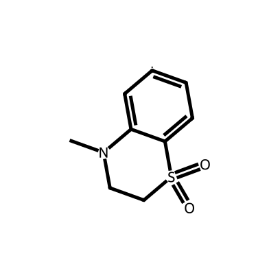 CN1CCS(=O)(=O)c2cc[c]cc21